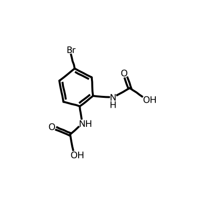 O=C(O)Nc1ccc(Br)cc1NC(=O)O